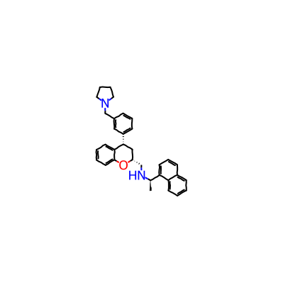 C[C@@H](NC[C@H]1C[C@@H](c2cccc(CN3CCCC3)c2)c2ccccc2O1)c1cccc2ccccc12